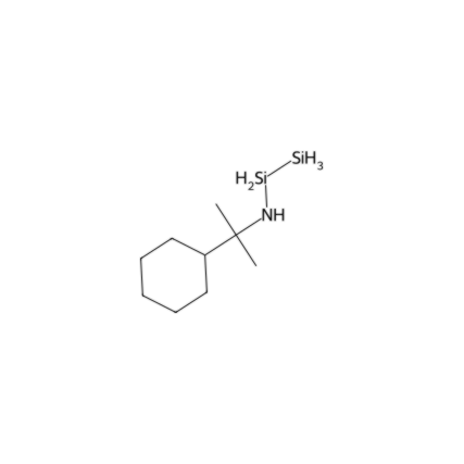 CC(C)(N[SiH2][SiH3])C1CCCCC1